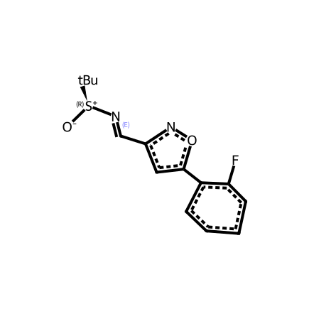 CC(C)(C)[S@+]([O-])/N=C/c1cc(-c2ccccc2F)on1